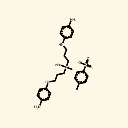 CCC[N+](C)(CCCNc1ccc(N)cc1)CCCNc1ccc(N)cc1.Cc1ccc(S(=O)(=O)[O-])cc1